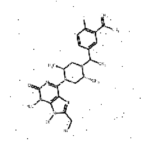 C=C(C)c1cc(C(C)N2C[C@H](C)N(c3nc(=O)n(C)c4c3nc(CC#N)n4CC)C[C@H]2C)ccc1F